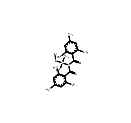 CCO[Si](C)(C)P(C(=O)c1c(C)cc(C)cc1C)C(=O)c1c(C)cc(C)cc1C